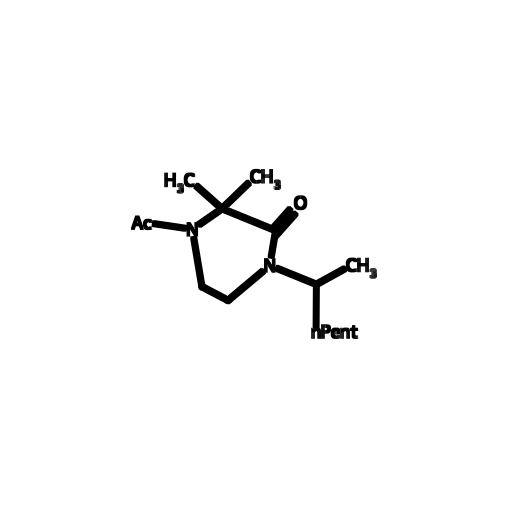 CCCCCC(C)N1CCN(C(C)=O)C(C)(C)C1=O